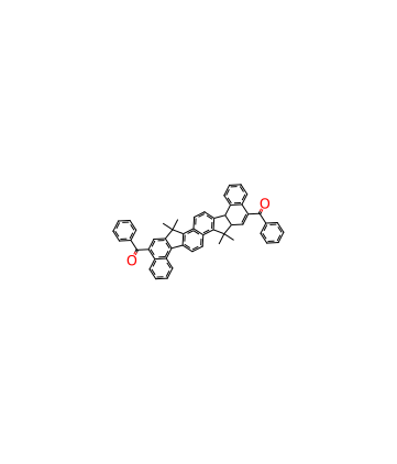 CC1(C)c2cc(C(=O)c3ccccc3)c3ccccc3c2-c2ccc3c4c(ccc3c21)C1c2ccccc2C(C(=O)c2ccccc2)=CC1C4(C)C